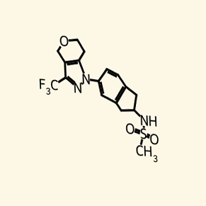 CS(=O)(=O)NC1Cc2ccc(-n3nc(C(F)(F)F)c4c3CCOC4)cc2C1